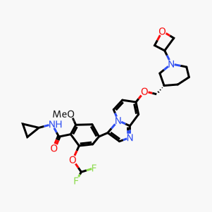 COc1cc(-c2cnc3cc(OC[C@H]4CCCN(C5COC5)C4)ccn23)cc(OC(F)F)c1C(=O)NC1CC1